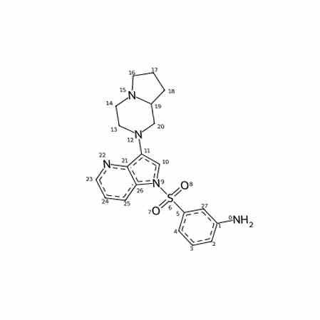 Nc1cccc(S(=O)(=O)n2cc(N3CCN4CCCC4C3)c3ncccc32)c1